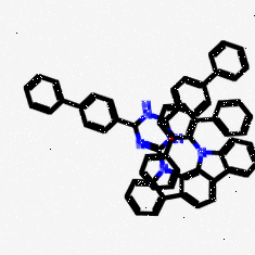 c1ccc(-c2ccc(C3N=C(n4c5ccccc5c5ccc6c7ccccc7n(-c7c(-c8ccccc8)cccc7-c7ccccc7)c6c54)NC(c4ccc(-c5ccccc5)cc4)N3)cc2)cc1